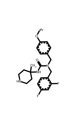 CC(C)Oc1ccc(CN(Cc2ccc(F)cc2F)C(=O)NC2(C)CCNCC2)cc1